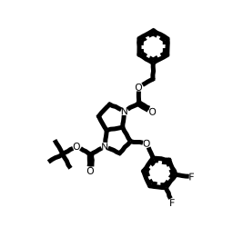 CC(C)(C)OC(=O)N1CC(Oc2ccc(F)c(F)c2)C2C1CCN2C(=O)OCc1ccccc1